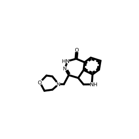 O=C1NN=C(CN2CCOCC2)C2CNc3cccc1c32